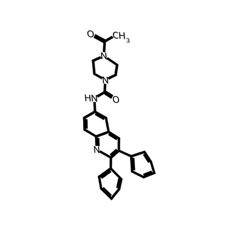 CC(=O)N1CCN(C(=O)Nc2ccc3nc(-c4ccccc4)c(-c4ccccc4)cc3c2)CC1